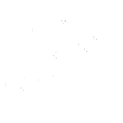 COC[C@@H](C)Oc1cc(C(=O)Nc2nc(C)cs2)cc(Oc2ccc(S(=O)(=O)N(C)C)cc2)n1